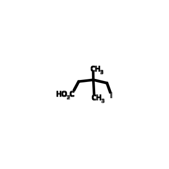 CC(C)(CI)CC(=O)O